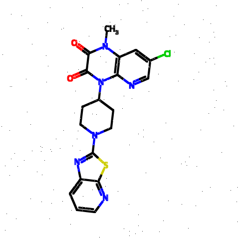 Cn1c(=O)c(=O)n(C2CCN(c3nc4cccnc4s3)CC2)c2ncc(Cl)cc21